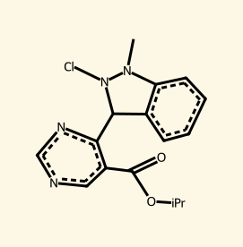 CC(C)OC(=O)c1cncnc1C1c2ccccc2N(C)N1Cl